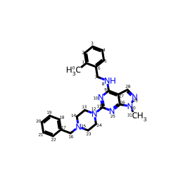 Cc1ccccc1CNc1nc(N2CCN(Cc3ccccc3)CC2)nc2c1cnn2C